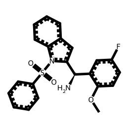 COc1ccc(F)cc1[C@@H](N)c1cc2ccccc2n1S(=O)(=O)c1ccccc1